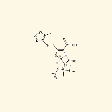 Cn1nnnc1SCC1=C(C(=O)O)N2C(=O)[C@@H]([C@@](C)(O[SiH](C)C)C(C)(C)C)[C@H]2S1